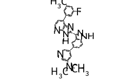 Cc1cc(F)cc(-c2ccnc3[nH]c(-c4n[nH]c5ccc(-c6cncc(N(C)C)c6)cc45)nc23)c1